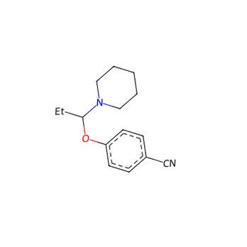 CCC(Oc1ccc(C#N)cc1)N1CCCCC1